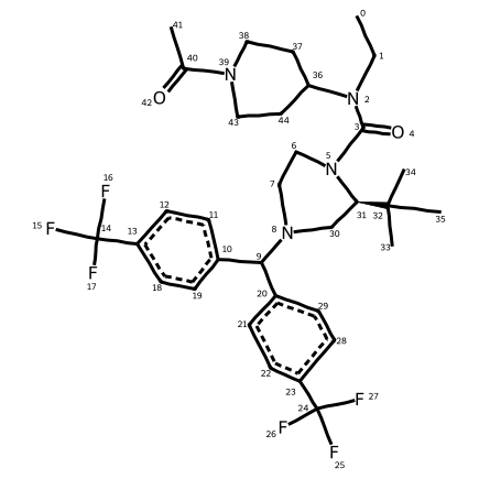 CCN(C(=O)N1CCN(C(c2ccc(C(F)(F)F)cc2)c2ccc(C(F)(F)F)cc2)C[C@@H]1C(C)(C)C)C1CCN(C(C)=O)CC1